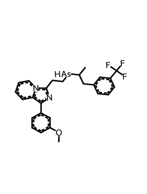 COc1cccc(-c2nc(CC[AsH]C(C)Cc3cccc(C(F)(F)F)c3)n3ccccc23)c1